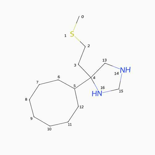 CSCCC1(C2CCCCCCC2)CNCN1